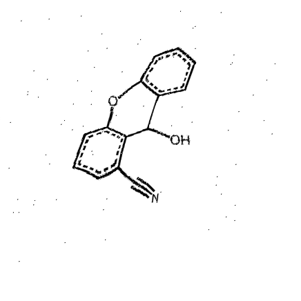 N#Cc1cccc2c1C(O)c1ccccc1O2